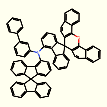 c1ccc(-c2cccc(N(c3cccc4c3-c3ccccc3C43c4ccccc4-c4ccccc43)c3cccc4c3-c3ccccc3C43c4ccc5ccccc5c4Oc4c3ccc3ccccc43)c2)cc1